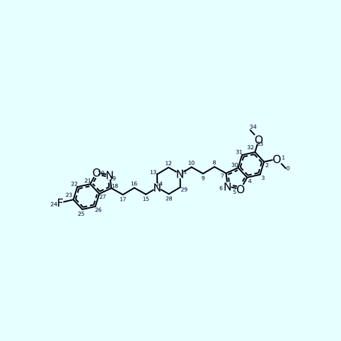 COc1cc2onc(CCCN3CCN(CCCc4noc5cc(F)ccc45)CC3)c2cc1OC